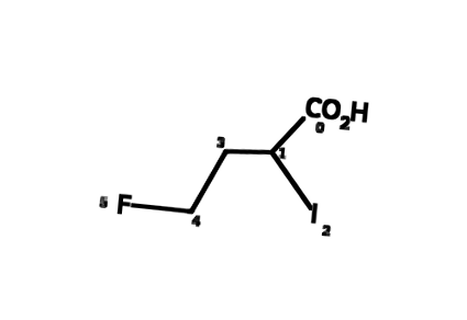 O=C(O)C(I)CCF